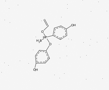 B[PH](OC=C)(Oc1ccc(O)cc1)c1ccc(O)cc1